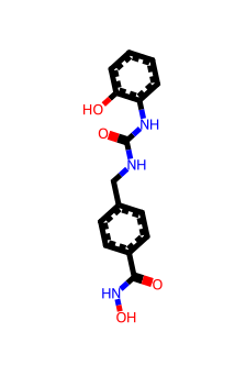 O=C(NCc1ccc(C(=O)NO)cc1)Nc1ccccc1O